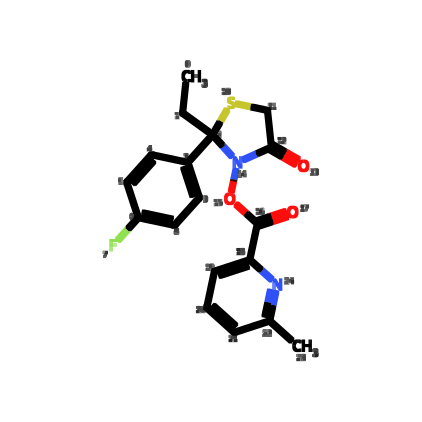 CCC1(c2ccc(F)cc2)SCC(=O)N1OC(=O)c1cccc(C)n1